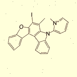 Cc1c(I)c2oc3ccccc3c2c2c3ccccc3n(-c3cccc[n+]3C)c12